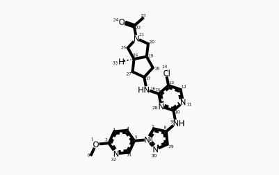 COc1ccc(-n2cc(Nc3ncc(Cl)c(NC4CC5CN(C(C)=O)C[C@@H]5C4)n3)cn2)cn1